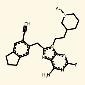 C#Cc1cc2c(cc1Cc1nc3c(N)nc(F)nc3n1CCC1CCCN(C(C)=O)C1)CCC2